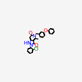 Cc1c2c(=O)n(-c3ccccc3Cl)[nH]c2cc(=O)n1Cc1cccc(Oc2ccccc2)c1